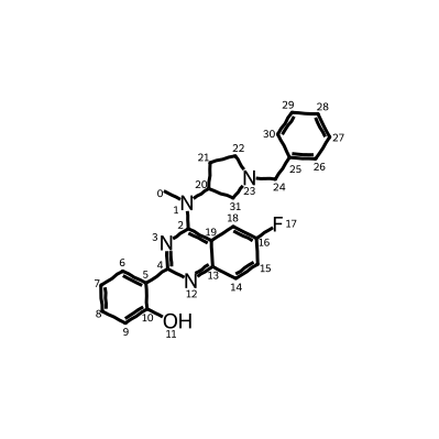 CN(c1nc(-c2ccccc2O)nc2ccc(F)cc12)C1CCN(Cc2ccccc2)C1